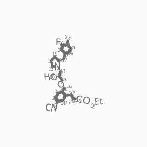 [C-]#[N+]c1ccc([C@@H](C)OC[C@H](O)CN2CCC[C@H]2Cc2ccc(C)c(F)c2)c(CCC(=O)OCC)c1